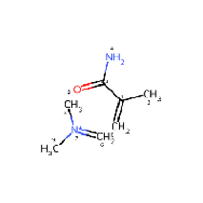 C=C(C)C(N)=O.C=[N+](C)C